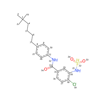 CC(C)(C)CCCCc1ccc(NC(=O)c2ccc(Cl)c(N[SH](=O)=O)c2)cc1